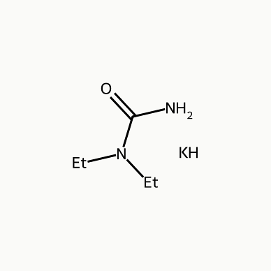 CCN(CC)C(N)=O.[KH]